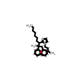 CCCCCCCC(c1nccn1CCCC)C(C)(Cc1ccccc1)c1ccccc1